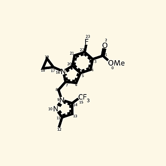 COC(=O)c1cc2cc(Cn3nc(C)cc3C(F)(F)F)n(C3CC3)c2cc1F